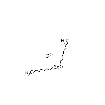 CCCCCCCCC[CH2][Sn+2][CH2]CCCCCCCCC.[O-2]